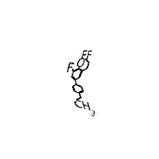 CCCc1ccc(-c2cc(F)c3c(c2)CCC(F)(F)O3)cc1